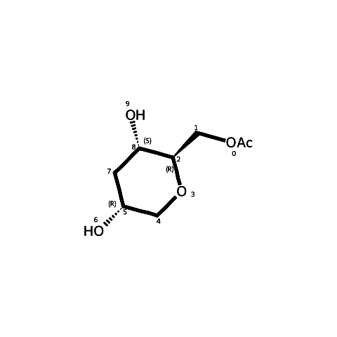 CC(=O)OC[C@H]1OC[C@H](O)C[C@@H]1O